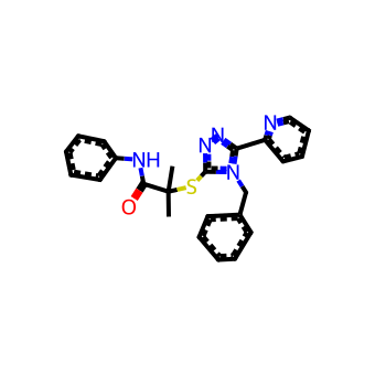 CC(C)(Sc1nnc(-c2ccccn2)n1Cc1ccccc1)C(=O)Nc1ccccc1